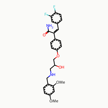 COc1ccc(CNCC(O)COc2ccc(C(=Cc3ccc(F)c(F)c3)C(N)=O)cc2)c(OC)c1